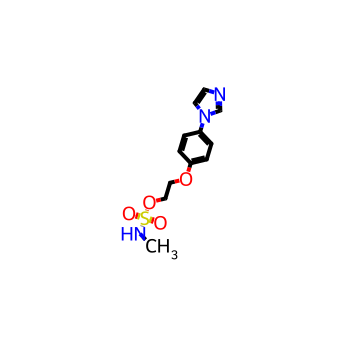 CNS(=O)(=O)OCCOc1ccc(-n2ccnc2)cc1